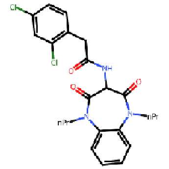 CCCN1C(=O)C(NC(=O)Cc2ccc(Cl)cc2Cl)C(=O)N(CCC)c2ccccc21